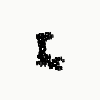 CCOc1nc(N)nc2c1ncn2[C@@H]1O[C@@H]2COP(=O)(Oc3cccc(OP4(=O)OC[C@H]5OC[C@](C)(O)[C@@H]5O4)c3)O[C@H]2[C@@]1(C)F